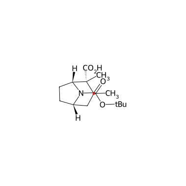 CC1C[C@@H]2CC[C@@H](N2C(=O)OC(C)(C)C)[C@]1(C)C(=O)O